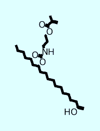 C=C(O)CCCCCCCCCCC(CCCCCC)OC(=O)NCCCOC(=O)C(=C)C